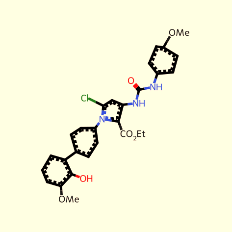 CCOC(=O)c1c(NC(=O)Nc2ccc(OC)cc2)cc(Cl)n1-c1ccc(-c2cccc(OC)c2O)cc1